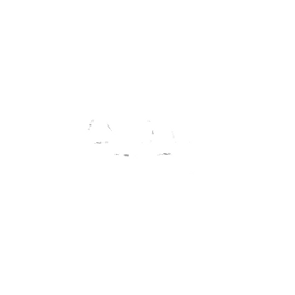 CC(=O)c1ccccc1COc1cc(C)c(C)cc1Cl